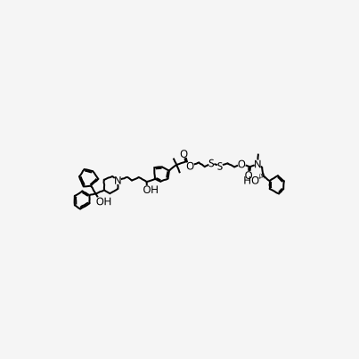 CN(C[C@@H](O)c1ccccc1)C(=O)OCCSSCCOC(=O)C(C)(C)c1ccc(C(O)CCCN2CCC(C(O)(c3ccccc3)c3ccccc3)CC2)cc1